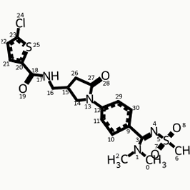 CN(C)/C(=N\S(C)(=O)=O)c1ccc(N2CC(CNC(=O)c3ccc(Cl)s3)CC2=O)cc1